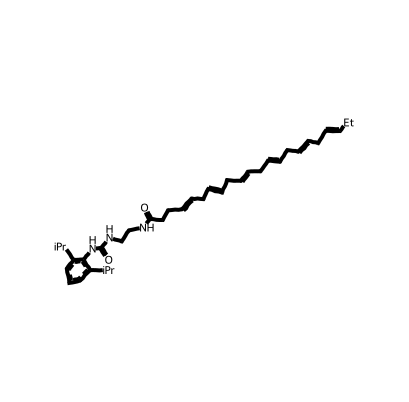 CC/C=C/C/C=C/C/C=C/C/C=C/C/C=C/C/C=C/CCC(=O)NCCNC(=O)Nc1c(C(C)C)cccc1C(C)C